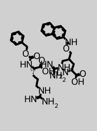 N=C(N)NCC(CONc1ccc2ccccc2c1)C[C@H](N)C(=O)O.N=C(N)NCCC[C@H](NC(=O)OCc1ccccc1)C(=O)O